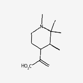 C=C(C(=O)O)C1CCN(C)C(C)(C)C1C